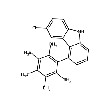 Bc1c(B)c(B)c(-c2cccc3[nH]c4ccc(Cl)cc4c23)c(B)c1B